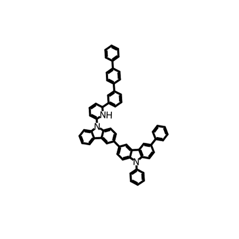 C1=CC(c2cccc(-c3ccc(-c4ccccc4)cc3)c2)NC(n2c3ccccc3c3cc(-c4ccc5c(c4)c4cc(-c6ccccc6)ccc4n5-c4ccccc4)ccc32)=C1